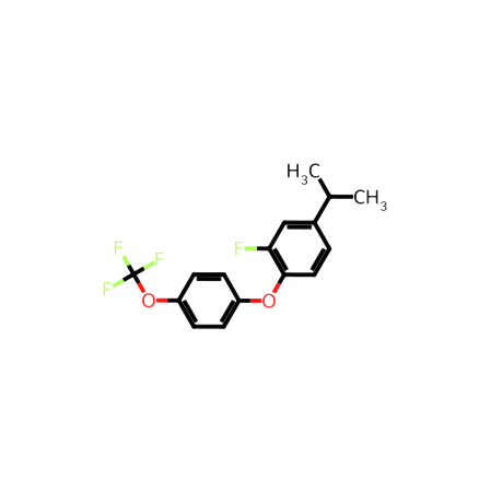 CC(C)c1ccc(Oc2ccc(OC(F)(F)F)cc2)c(F)c1